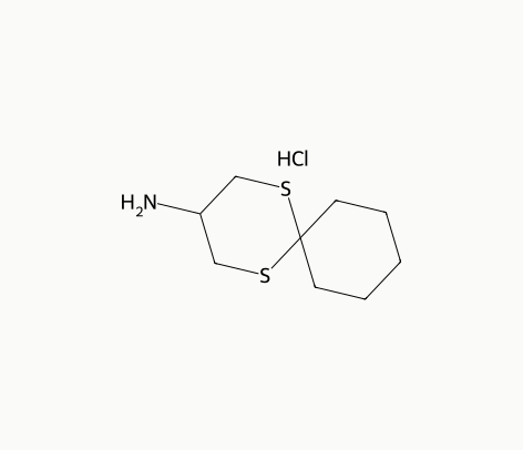 Cl.NC1CSC2(CCCCC2)SC1